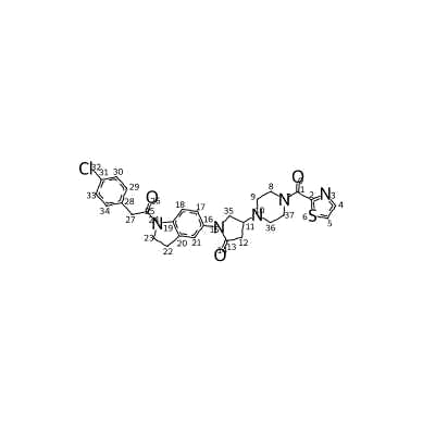 O=C(c1nccs1)N1CCN(C2CC(=O)N(c3ccc4c(c3)CCN4C(=O)Cc3ccc(Cl)cc3)C2)CC1